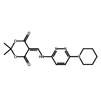 CC1(C)OC(=O)C(=CNc2ccc(N3CCCCC3)nn2)C(=O)O1